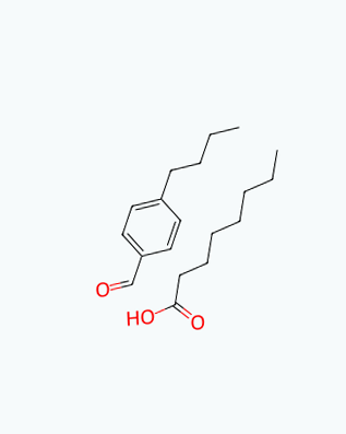 CCCCCCCC(=O)O.CCCCc1ccc(C=O)cc1